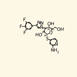 Nc1cc(S[C@H]2O[C@H](CO)[C@H](O)[C@H](n3cc(-c4cc(F)c(F)c(F)c4)nn3)[C@H]2O)ccn1